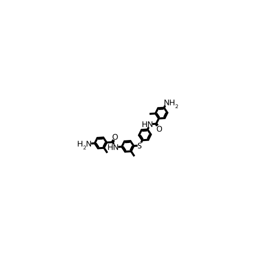 Cc1cc(NC(=O)c2ccc(N)cc2C)ccc1Sc1ccc(NC(=O)c2ccc(N)cc2C)cc1